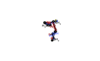 Cc1ncsc1-c1ccc(CNC(=O)[C@@H]2C[C@@H](O)CN2C(=O)[C@H](C(C)C)N2Cc3ccccc3C2=O)c(OCCOCCOCCOc2ccc(Nc3ncc(Br)c(NCCCN(C)C(=O)C4CCC4)n3)cc2)c1